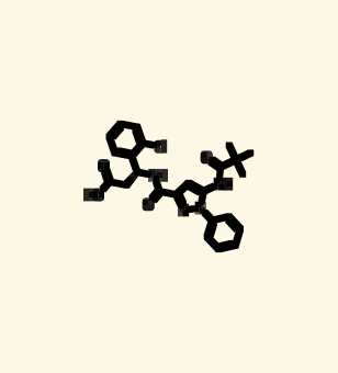 CC(C)(C)C(=O)Nc1cc(C(=O)N[C@@H](CC(=O)O)c2ccccc2Cl)nn1-c1ccccc1